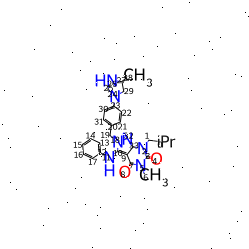 CC(C)Cn1c(=O)n(C)c(=O)c2c(Nc3ccccc3)n(Cc3ccc(N4CNC(C)C4)cc3)nc21